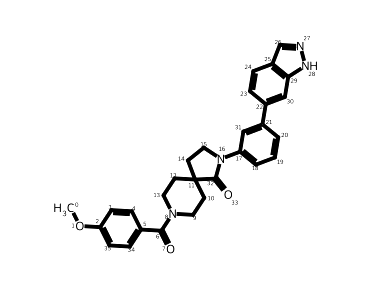 COc1ccc(C(=O)N2CCC3(CC2)CCN(c2cccc(-c4ccc5cn[nH]c5c4)c2)C3=O)cc1